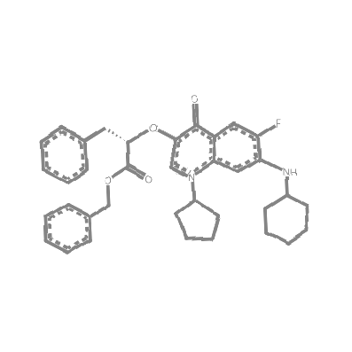 O=C(OCc1ccccc1)[C@H](Cc1ccccc1)Oc1cn(C2CCCC2)c2cc(NC3CCCCC3)c(F)cc2c1=O